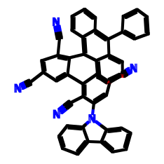 N#Cc1cc(C#N)c(-c2c3ccccc3c(-c3ccccc3)c3ccccc23)c(-c2cc(C#N)cc(-n3c4ccccc4c4ccccc43)c2C#N)c1